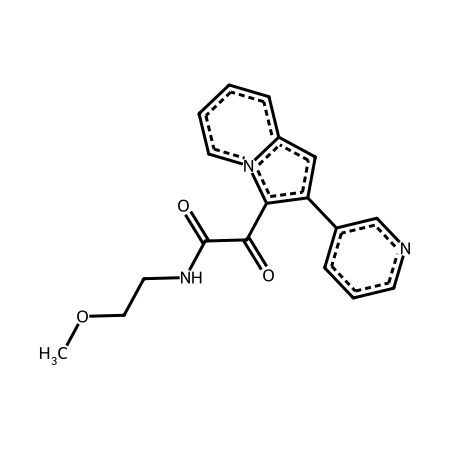 COCCNC(=O)C(=O)c1c(-c2cccnc2)cc2ccccn12